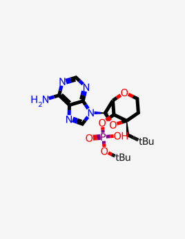 CC(C)(C)C[C@]12CCOC(C1OP(=O)(O)OC(C)(C)C)[C@H](n1cnc3c(N)ncnc31)O2